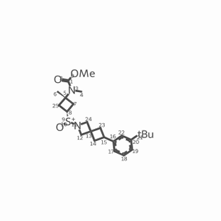 COC(=O)N(C)[C@]1(C)C[C@H]([S+]([O-])N2CC3(CC(c4cccc(C(C)(C)C)c4)C3)C2)C1